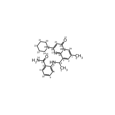 Cc1cc(C(C)Nc2ccccc2C(N)=O)c2nc(N3CCCCC3)cc(=O)n2c1